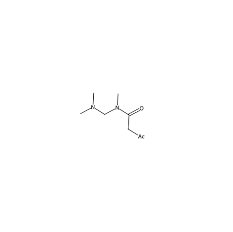 CC(=O)CC(=O)N(C)CN(C)C